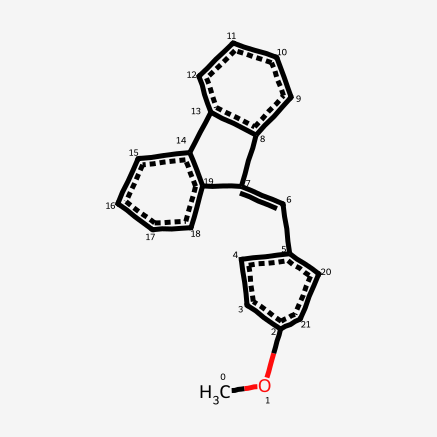 COc1ccc(C=C2c3ccccc3-c3ccccc32)cc1